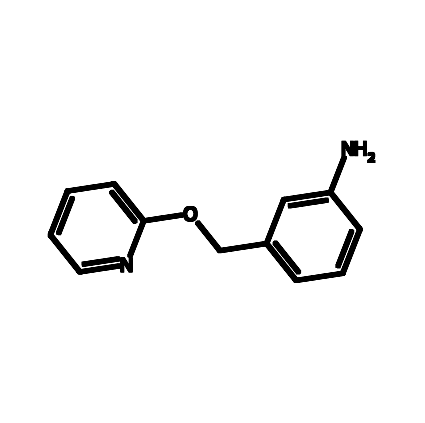 Nc1cccc(COc2ccccn2)c1